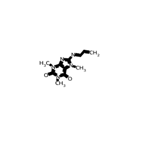 C=CC=Nc1nc2c(c(=O)n(C)c(=O)n2C)n1C